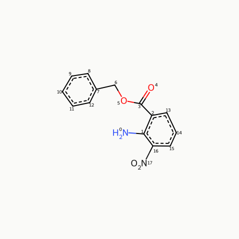 Nc1c(C(=O)OCc2ccccc2)cccc1[N+](=O)[O-]